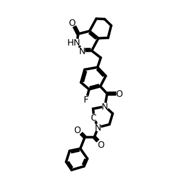 O=C(C(=O)N1CCN(C(=O)c2cc(Cc3n[nH]c(=O)c4c3CCCC4)ccc2F)CC1)c1ccccc1